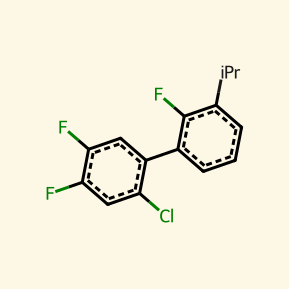 CC(C)c1cccc(-c2cc(F)c(F)cc2Cl)c1F